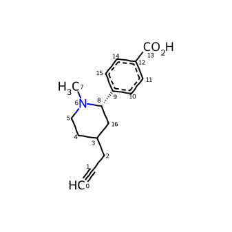 C#CCC1CCN(C)[C@H](c2ccc(C(=O)O)cc2)C1